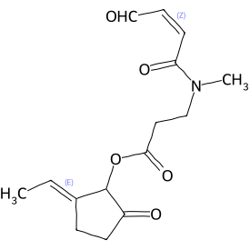 C/C=C1\CCC(=O)C1OC(=O)CCN(C)C(=O)/C=C\C=O